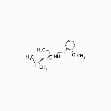 CC/C(=C\C=C(/C)NC)NCCc1ccccc1OC